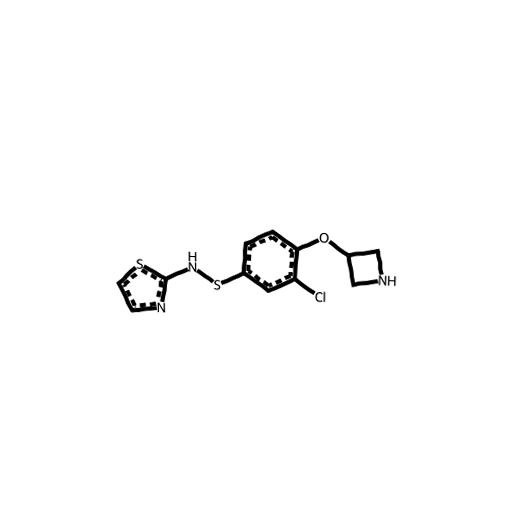 Clc1cc(SNc2nccs2)ccc1OC1CNC1